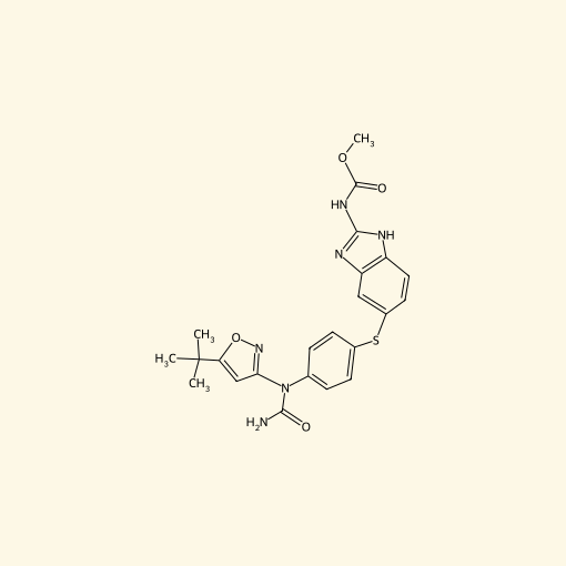 COC(=O)Nc1nc2cc(Sc3ccc(N(C(N)=O)c4cc(C(C)(C)C)on4)cc3)ccc2[nH]1